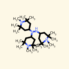 CN1C(C)(C)CC(NN(C2CC(C)(C)N(C)C(C)(C)C2)C2CC(C)(C)N(C)C(C)(C)C2)CC1(C)C